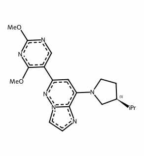 COc1ncc(-c2cc(N3CC[C@@H](C(C)C)C3)c3nccn3n2)c(OC)n1